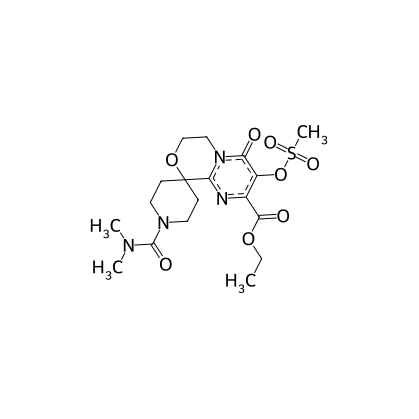 CCOC(=O)c1nc2n(c(=O)c1OS(C)(=O)=O)CCOC21CCN(C(=O)N(C)C)CC1